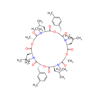 Cc1ccc(C[C@H]2OC(=O)[C@H](CC(C)C)N(C)C(=O)[C@@H](C)OC(=O)[C@H](CC(C)C)N(C)C(=O)[C@@H](Cc3cccc(C)c3)OC(=O)[C@H](CC(C)C)N(C)C(=O)[C@@H](C)OC(=O)[C@H](CC(C)C)N(C)C2=O)cc1